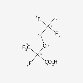 CC(F)(F)COC(F)(C(=O)O)C(F)(F)F